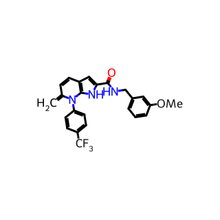 C=C1C=Cc2cc(C(=O)NCc3cccc(OC)c3)[nH]c2N1c1ccc(C(F)(F)F)cc1